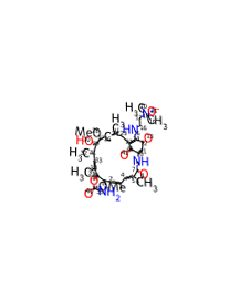 CO[C@H]1/C=C\C=C(/C)C(=O)NC2=CC(=O)C(NCC[N+](C)(C)[O-])=C(C[C@@H](C)C[C@H](OC)[C@H](O)[C@@H](C)/C=C(\C)[C@@H]1OC(N)=O)C2=O